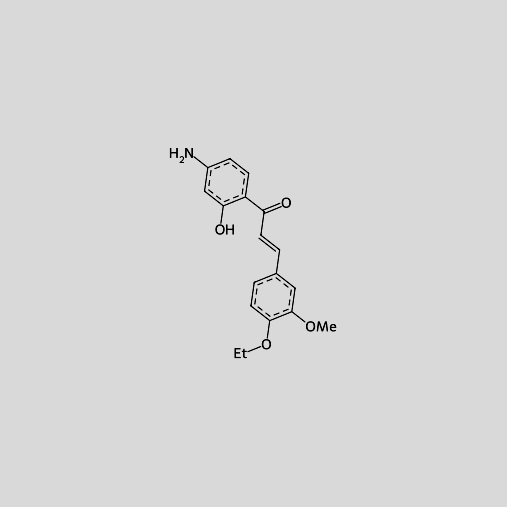 CCOc1ccc(/C=C/C(=O)c2ccc(N)cc2O)cc1OC